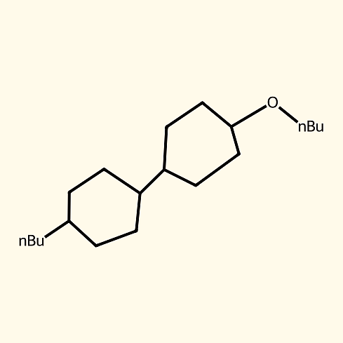 CCCCOC1CCC(C2CCC(CCCC)CC2)CC1